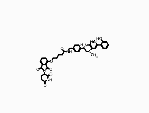 CN(CCc1ccc(CNC(=O)CCCCOc2cccc3c2C(=O)N(C2CCC(=O)NC2=O)C3=O)cc1)c1cc(-c2ccccc2O)nnc1N